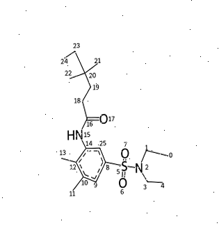 CCN(CC)S(=O)(=O)c1cc(C)c(C)c(NC(=O)CCC(C)(C)CC)c1